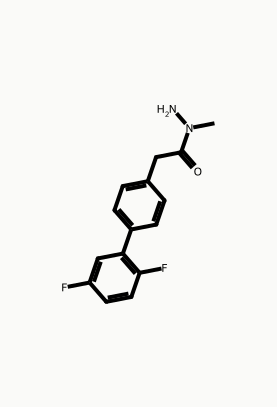 CN(N)C(=O)Cc1ccc(-c2cc(F)ccc2F)cc1